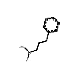 CC(=O)N(CCCc1ccccc1)C(C)=O